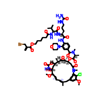 C=C(CBr)C(=O)OCCCCCC(=O)N[C@H](C(=O)N[C@@H](CCCNC(N)=O)C(=O)Nc1ccc(C(=O)N(C)[C@@H](C)C(=O)O[C@H]2CC(=O)N(C)c3cc(cc(OC)c3Cl)C/C(C)=C/C=C/[C@@H](OC)[C@@]3(O)C[C@H](OC(=O)N3)[C@@H](C)[C@@H]3O[C@@]23C)cc1N1CCOCC1)C(C)C